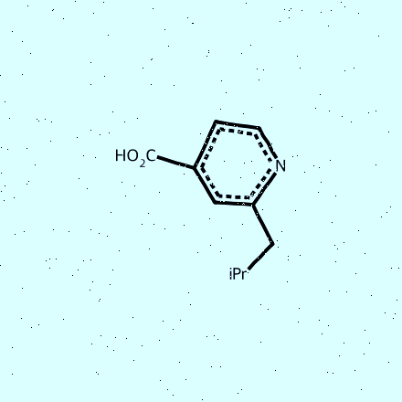 CC(C)Cc1cc(C(=O)O)ccn1